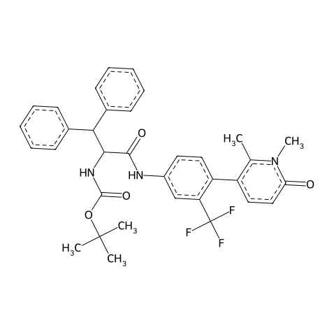 Cc1c(-c2ccc(NC(=O)C(NC(=O)OC(C)(C)C)C(c3ccccc3)c3ccccc3)cc2C(F)(F)F)ccc(=O)n1C